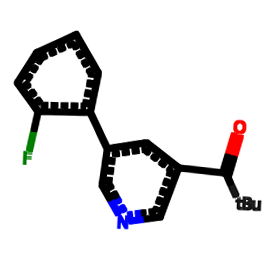 CC(C)(C)C(=O)c1cncc(-c2ccccc2F)c1